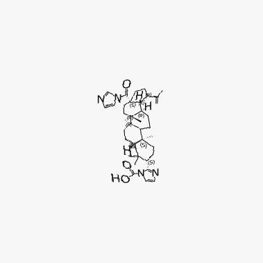 C=C(C)[C@@H]1CC[C@]2(C(=O)n3ccnc3)CC[C@]3(C)[C@H](CCC4[C@@]5(C)CC[C@H](c6nccn6C(=O)O)C(C)(C)[C@@H]5CC[C@]43C)[C@@H]12